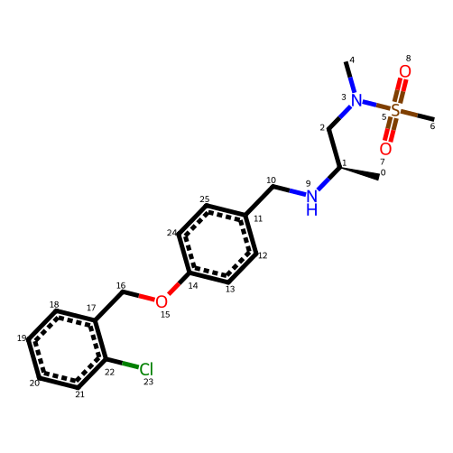 C[C@H](CN(C)S(C)(=O)=O)NCc1ccc(OCc2ccccc2Cl)cc1